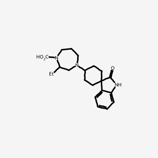 CCC1CN(C2CCC3(CC2)C(=O)Nc2ccccc23)CCCN1C(=O)O